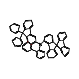 c1ccc(-c2ccccc2N(c2ccc3c(c2)-c2ccccc2C3(c2ccccc2)c2ccccc2)c2cccc3c2-c2ccccc2C32c3ccccc3-c3ccccc32)cc1